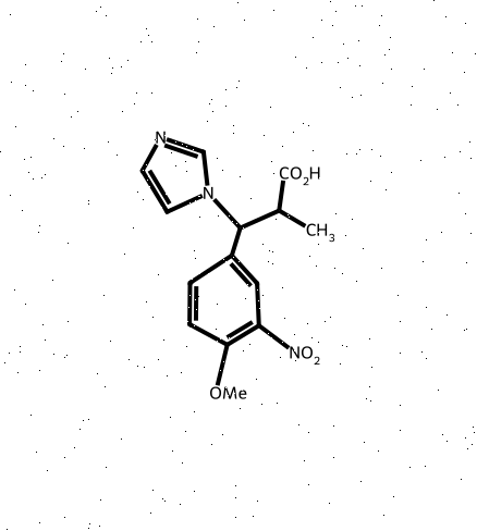 COc1ccc(C(C(C)C(=O)O)n2ccnc2)cc1[N+](=O)[O-]